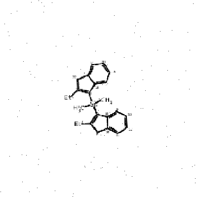 CCC1=C([Si](C)(C)C2=C(CC)[CH]c3ccccc32)c2ccccc2[CH]1